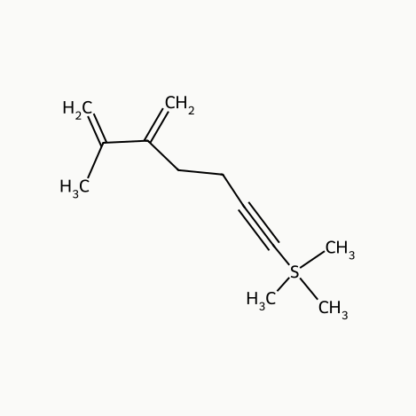 C=C(C)C(=C)CCC#CS(C)(C)C